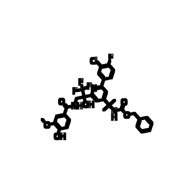 COc1cc(C(=O)NCC(O)(c2cc(C(C)(C)NC(=O)OCc3ccccc3)cc(-c3ccc(F)c(Cl)c3)n2)C(F)(F)F)ccc1O